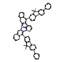 CC1(C)c2cc(-c3ccccc3)ccc2-c2ccc(-c3c4ccccc4cc4c3c3cccc5c6c(-c7ccc8c(c7)C(C)(C)c7cc(-c9ccccc9)ccc7-8)c7ccccc7cc6n4c35)cc21